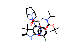 C=C1Nc2ncnc(N3CC4CCC(C3)N4C(=O)[C@H](CN(C(=O)OC(C)(C)C)C(C)C)c3ccc(Cl)cc3)c2C1(C)C